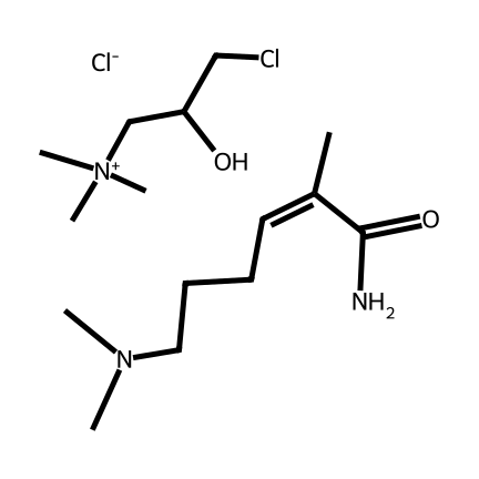 CC(=CCCCN(C)C)C(N)=O.C[N+](C)(C)CC(O)CCl.[Cl-]